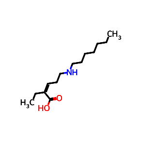 CCCCCCCNCCC=C(CC)C(=O)O